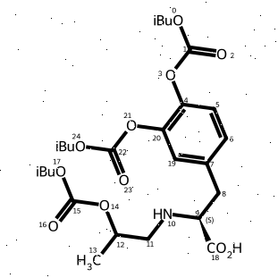 CC(C)COC(=O)Oc1ccc(C[C@H](NCC(C)OC(=O)OCC(C)C)C(=O)O)cc1OC(=O)OCC(C)C